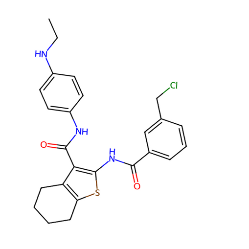 CCNc1ccc(NC(=O)c2c(NC(=O)c3cccc(CCl)c3)sc3c2CCCC3)cc1